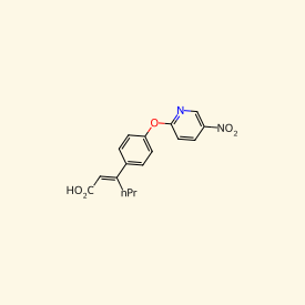 CCC/C(=C\C(=O)O)c1ccc(Oc2ccc([N+](=O)[O-])cn2)cc1